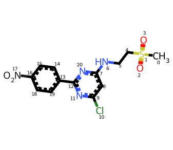 CS(=O)(=O)CCNc1cc(Cl)nc(-c2ccc([N+](=O)[O-])cc2)n1